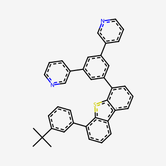 CC(C)(C)c1cccc(-c2cccc3c2sc2c(-c4cc(-c5cccnc5)cc(-c5cccnc5)c4)cccc23)c1